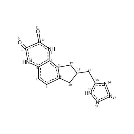 O=c1[nH]c2ccc3c(c2[nH]c1=O)CC(Cc1nnn[nH]1)C3